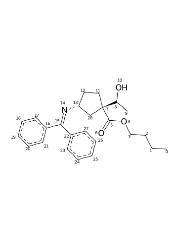 CCCCOC(=O)[C@@]1(C(C)O)CC[C@@H](N=C(c2ccccc2)c2ccccc2)C1